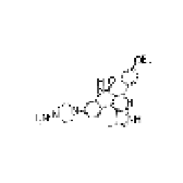 CCOc1ccc(-c2nc3[nH]cc(C)c3c3c2c(=O)[nH]c2cc(N4CCN(N)CC4)ccc23)cc1